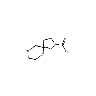 O=C(O)N1CCC2(CNCCO2)C1